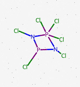 ClN1P(Cl)N(Cl)P1(Cl)(Cl)Cl